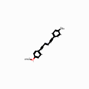 CCCCCCOc1ccc(C#C/C=C/C#Cc2ccc(CCCC)cc2)cc1